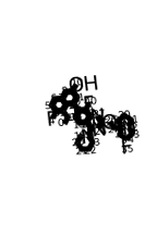 CCc1c(F)ccc2cc(O)cc(-c3ccc4c(N5CCCCC5)nc(OCC56CCCN5CC(F)C6)nc4c3F)c12